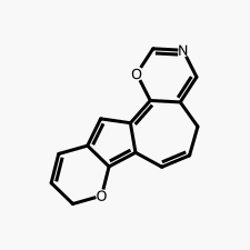 C1=CC2=CC3=C4OC=NC=C4CC=CC3=C2OC1